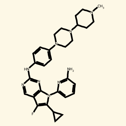 CN1CCC(N2CCN(c3ccc(Nc4ncc5c(F)c(C6CC6)n(-c6cccc(N)n6)c5n4)cc3)CC2)CC1